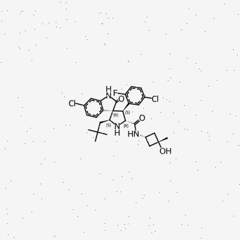 CC(C)(C)C[C@@H]1N[C@@H](C(=O)N[C@H]2C[C@@](C)(O)C2)[C@H](c2cc(Cl)ccc2F)[C@]12C(=O)Nc1cc(Cl)ccc12